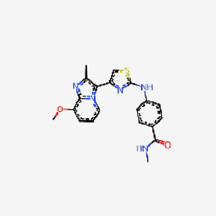 CNC(=O)c1ccc(Nc2nc(-c3c(C)nc4c(OC)cccn34)cs2)cc1